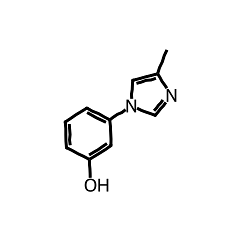 Cc1cn(-c2cccc(O)c2)cn1